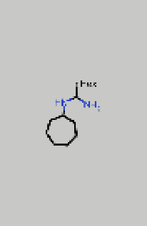 CCCCCCC(N)NC1CCCCCC1